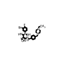 CCN1CCN(Cc2ccc(CNc3nonc3C(=N)N(O)c3ccc(F)c(Br)c3)cc2)CC1